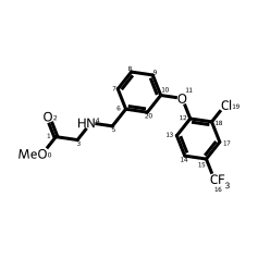 COC(=O)CNCc1cccc(Oc2ccc(C(F)(F)F)cc2Cl)c1